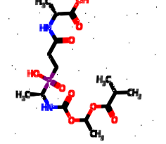 CC(OC(=O)N[C@@H](C)P(=O)(O)CCC(=O)N[C@@H](C)C(=O)O)OC(=O)C(C)C